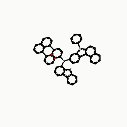 c1ccc(-c2cccc3cccc(-c4ccc(N(c5ccc6c7c8ccccc8ccc7n(-c7ccccc7)c6c5)c5cccc6c5sc5ccccc56)cc4)c23)cc1